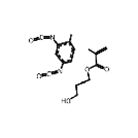 C=C(C)C(=O)OCCCO.Cc1ccc(N=C=O)cc1N=C=O